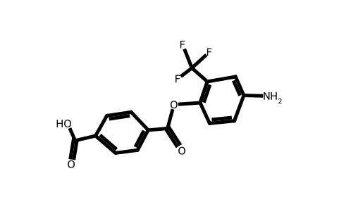 Nc1ccc(OC(=O)c2ccc(C(=O)O)cc2)c(C(F)(F)F)c1